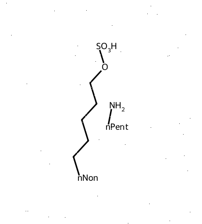 CCCCCCCCCCCCCCOS(=O)(=O)O.CCCCCN